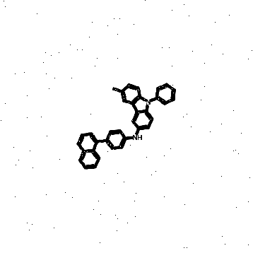 Cc1ccc2c(c1)c1cc(Nc3ccc(-c4cccc5ccccc45)cc3)ccc1n2-c1ccccc1